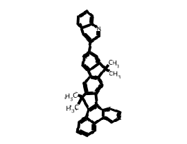 CC1(C)c2cc(-c3cnc4ccccc4c3)ccc2-c2cc3c(cc21)-c1c(c2ccccc2c2ccccc12)C3(C)C